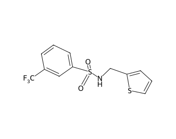 O=S(=O)(NCc1cccs1)c1cccc(C(F)(F)F)c1